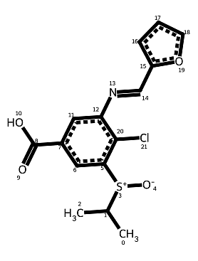 CC(C)[S+]([O-])c1cc(C(=O)O)cc(N=Cc2ccco2)c1Cl